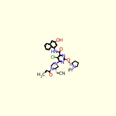 C=CC(=O)N1CCN(c2nc(OC[C@@H]3CCCN3C(C)C)nc(C(=O)Nc3cc(O)cc4ccccc34)c2Cl)C[C@@H]1CC#N